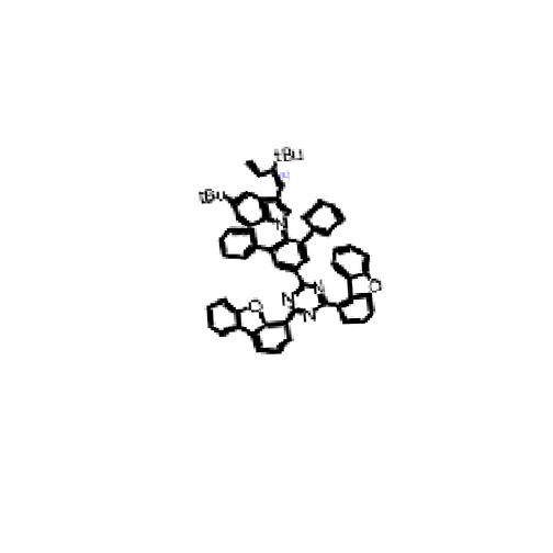 C=C/C(=C\c1cn(-c2c(-c3ccccc3)cc(-c3nc(-c4cccc5c4oc4ccccc45)nc(-c4cccc5oc6ccccc6c45)n3)cc2-c2ccccc2)c2ccc(C(C)(C)C)cc12)C(C)(C)C